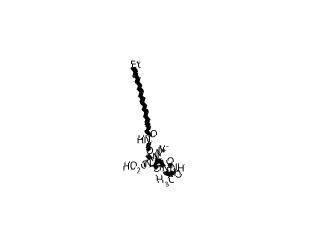 CCC=CCC=CCC=CCC=CCC=CCC=CCCC(=O)NCCOCCN(C[C@@H]1O[C@H](n2cc(C)c(=O)[nH]c2=O)C[C@@H]1N=[N+]=[N-])C(=O)O